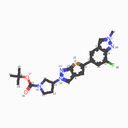 Cn1cc2cc(-c3cc4cn(C5CCN(C(=O)OC(C)(C)C)C5)nc4s3)cc(F)c2n1